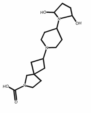 O=C(O)N1CCC2(CC(N3CCC(N4C(O)CCC4O)CC3)C2)C1